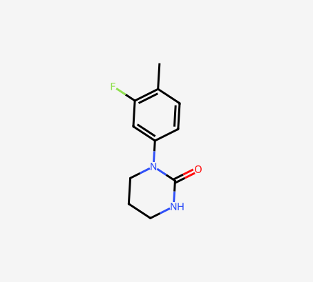 Cc1ccc(N2CCCNC2=O)cc1F